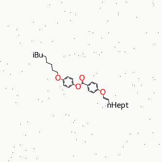 CCCCCCCC=COc1ccc(C(=O)Oc2ccc(OCCCCCC(C)CC)cc2)cc1